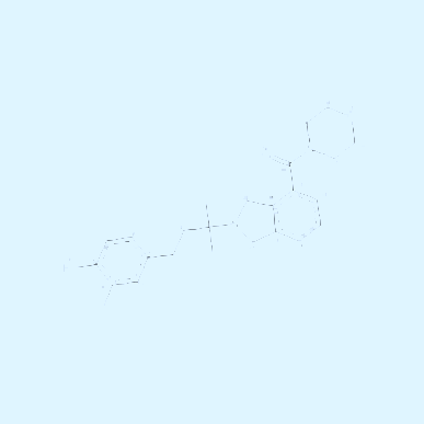 CC(C)(CCc1ccc(O)c(O)c1)N1Cc2cccc(C(=O)N3CCOCC3)c2C1